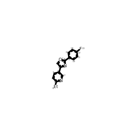 CCc1ccc(-c2coc(-c3ccc(F)cc3)n2)cn1